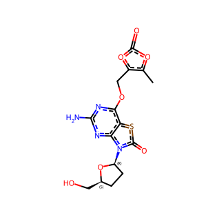 Cc1oc(=O)oc1COc1nc(N)nc2c1sc(=O)n2[C@H]1CC[C@@H](CO)O1